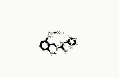 CC(=O)O.COc1cccc(OC)c1CNC(=N)Nc1nnc[nH]1